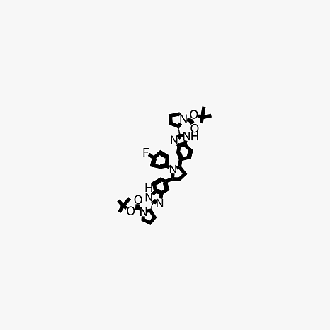 CC(C)(C)OC(=O)N1CCC[C@H]1c1nc2cc(C3CCC(c4ccc5[nH]c([C@@H]6CCCN6C(=O)OC(C)(C)C)nc5c4)N3c3ccc(F)cc3)ccc2[nH]1